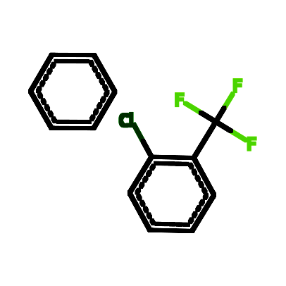 FC(F)(F)c1ccccc1Cl.c1ccccc1